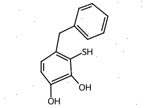 Oc1ccc(Cc2ccccc2)c(S)c1O